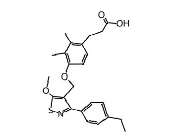 CCc1ccc(-c2nsc(OC)c2COc2ccc(CCC(=O)O)c(C)c2C)cc1